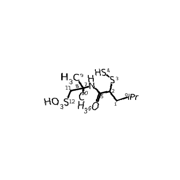 CC(C)CC(SS)C(=O)NC(C)(C)CS(=O)(=O)O